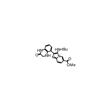 COC(=O)c1ccc2nc(-c3cccc4c3NCC(=O)N4)c(NC(C)(C)C)n2c1